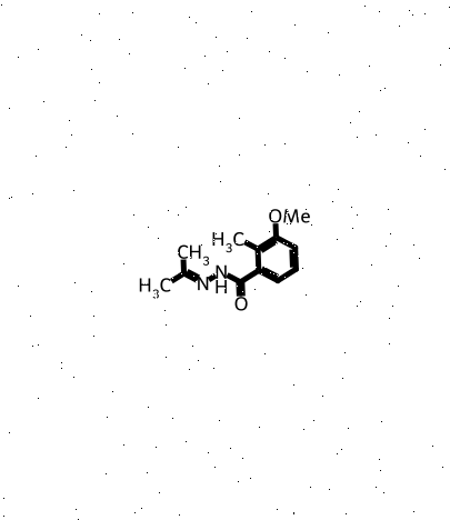 COc1cccc(C(=O)NN=C(C)C)c1C